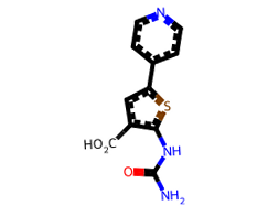 NC(=O)Nc1sc(-c2ccncc2)cc1C(=O)O